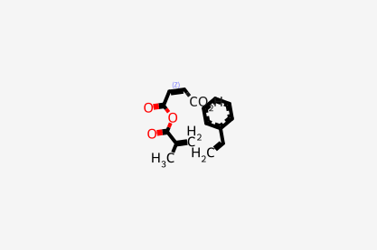 C=C(C)C(=O)OC(=O)/C=C\C(=O)O.C=Cc1ccccc1